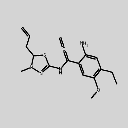 C=C=C(NC1=NN(C)C(CC=C)S1)c1cc(OC)c(CC)cc1N